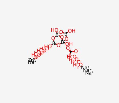 O.O.O.O.O.O.O.O.O=C([O-])[O-].OB1O[B-]2(O)OB(O)O[B-](O)(O1)O2.[Na+].[Na+].[Na+].[Na+].[O]=[Zn]